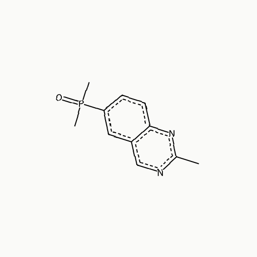 Cc1ncc2cc(P(C)(C)=O)ccc2n1